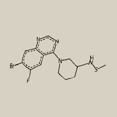 CSNC1CCCN(c2ncnc3cc(Br)c(F)cc23)C1